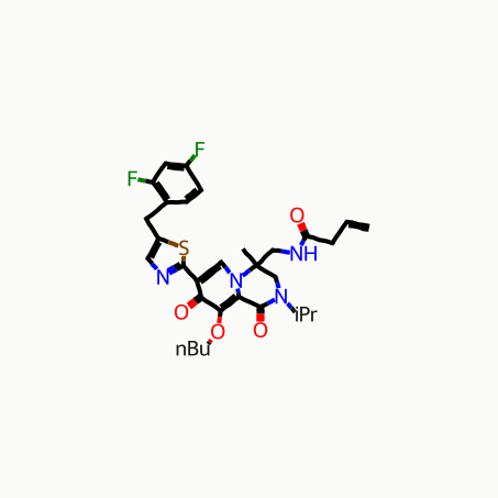 C=CCC(=O)NCC1(C)CN(C(C)C)C(=O)c2c(OCCCC)c(=O)c(-c3ncc(Cc4ccc(F)cc4F)s3)cn21